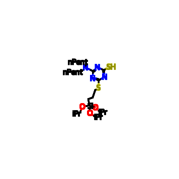 CCCCCN(CCCCC)c1nc(S)nc(SCCC[Si](OC(C)C)(OC(C)C)OC(C)C)n1